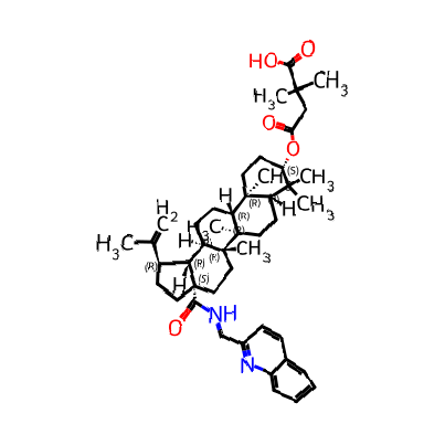 C=C(C)[C@@H]1CC[C@]2(C(=O)NCc3ccc4ccccc4n3)CC[C@]3(C)[C@H](CC[C@@H]4[C@@]5(C)CC[C@H](OC(=O)CC(C)(C)C(=O)O)C(C)(C)[C@@H]5CC[C@]43C)[C@@H]12